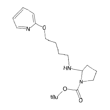 CC(C)(C)OC(=O)N1CCCC1NCCCCOc1ccccn1